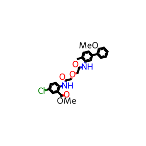 COC(=O)c1cc(Cl)ccc1NC(=O)COCC(=O)Nc1cc(-c2ccccc2OC)ccc1C